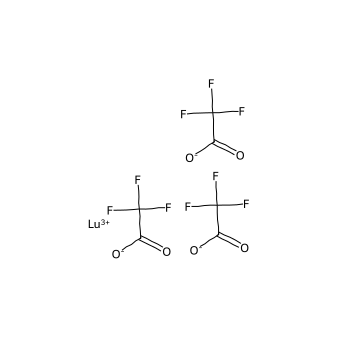 O=C([O-])C(F)(F)F.O=C([O-])C(F)(F)F.O=C([O-])C(F)(F)F.[Lu+3]